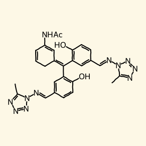 CC(=O)NC1=CC(=C(c2cc(C=Nn3nnnc3C)ccc2O)c2cc(C=Nn3nnnc3C)ccc2O)CC=C1